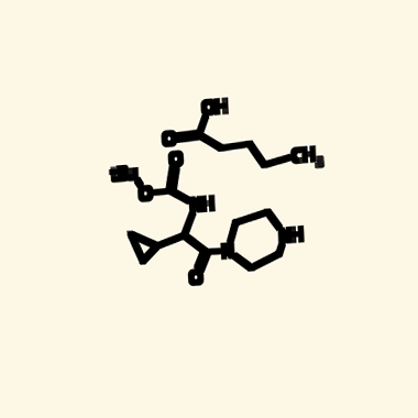 CC(C)(C)OC(=O)NC(C(=O)N1CCNCC1)C1CC1.CCCCC(=O)O